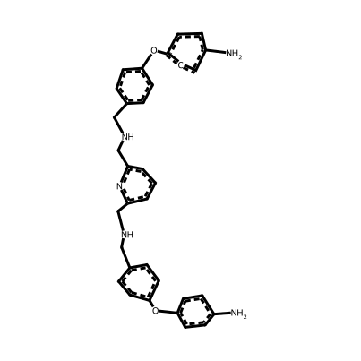 Nc1ccc(Oc2ccc(CNCc3cccc(CNCc4ccc(Oc5ccc(N)cc5)cc4)n3)cc2)cc1